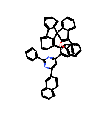 c1ccc(-c2nc(-c3ccc4ccccc4c3)cc(-c3ccccc3-c3cccc4c3C3(c5ccccc5-4)c4ccccc4-c4c3oc3ccccc43)n2)cc1